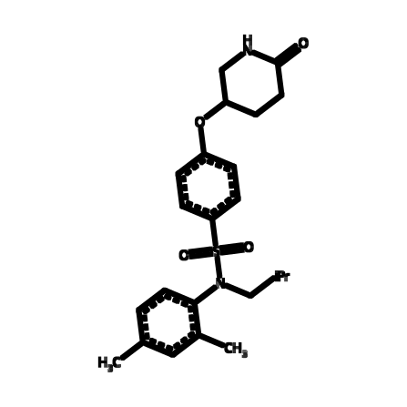 Cc1ccc(N(CC(C)C)S(=O)(=O)c2ccc(OC3CCC(=O)NC3)cc2)c(C)c1